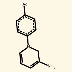 CC(=O)c1ccc(N2C=CC=C(N)C2)cc1